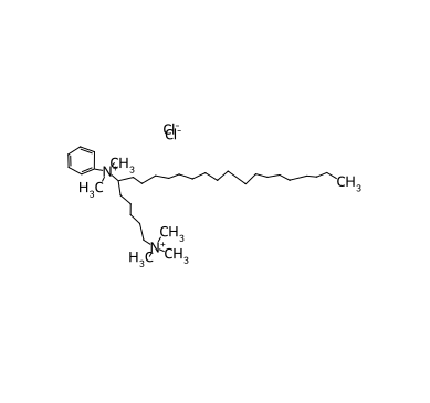 CCCCCCCCCCCCCCCCCCC(CCCCC[N+](C)(C)C)[N+](C)(C)c1ccccc1.[Cl-].[Cl-]